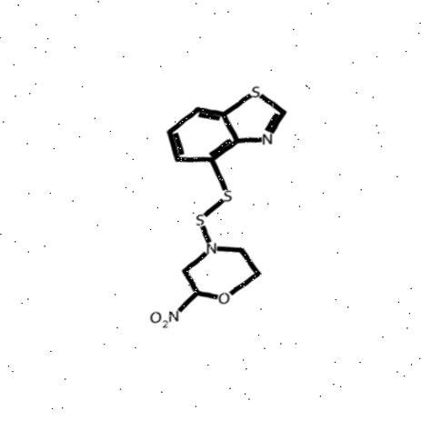 O=[N+]([O-])C1CN(SSc2cccc3scnc23)CCO1